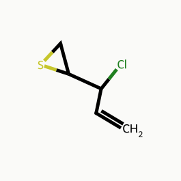 C=CC(Cl)C1CS1